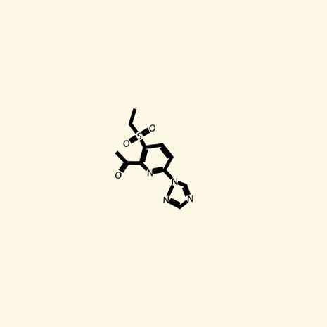 CCS(=O)(=O)c1ccc(-n2cncn2)nc1C(C)=O